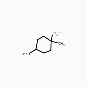 CCOC(=O)C1(C)CCC(OC)CC1